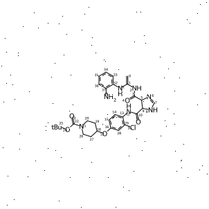 C=C(NC(=O)C1N=CNC1C(=O)Nc1ccc(OC2CCN(C(=O)OC(C)(C)C)CC2)cc1Cl)Nc1ccccc1N